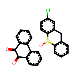 O=C1C(=O)c2ccccc2-c2ccccc21.[O-][S+]1c2ccccc2Cc2cc(Cl)ccc21